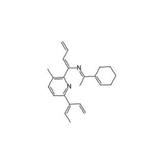 C=C/C=C(\N=C(/C)C1=CCCCC1)c1nc(/C(C=C)=C/C)ccc1C